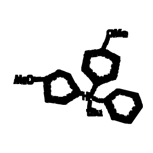 COc1ccc([PH](c2ccccc2)(c2ccc(OC)cc2)C(C)(C)C)cc1